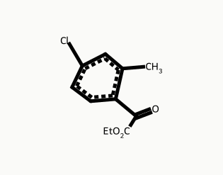 CCOC(=O)C(=O)c1ccc(Cl)cc1C